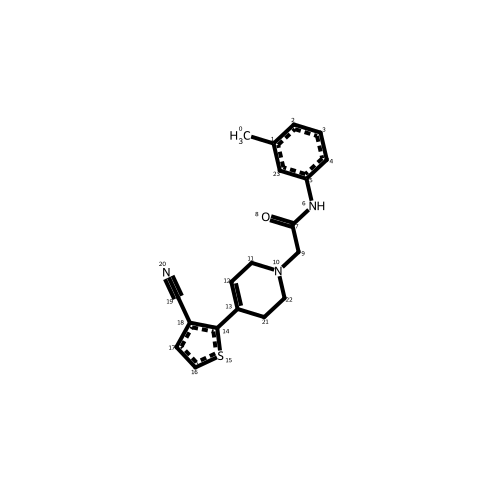 Cc1cccc(NC(=O)CN2CC=C(c3sccc3C#N)CC2)c1